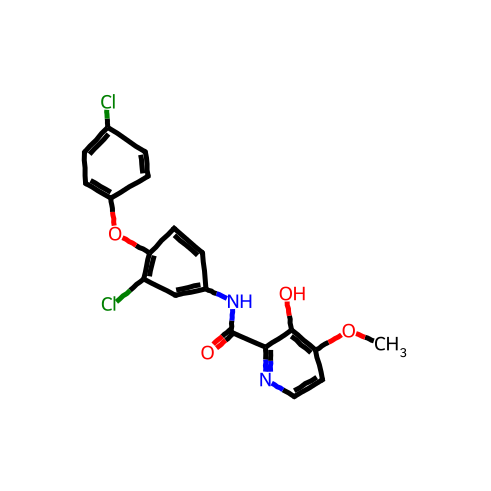 COc1ccnc(C(=O)Nc2ccc(Oc3ccc(Cl)cc3)c(Cl)c2)c1O